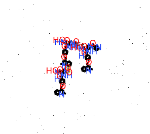 CCNC(=O)N1CCC(CC(=O)NO)(NC(=O)c2ccc(OCc3cc(C)nc4ccccc34)cc2)C1.Cc1cc(COc2ccc(C(=O)NC3(CC(=O)NO)CCN(C(=O)c4cccnc4)C3)cc2)c2ccccc2n1.Cc1cc(COc2ccc(C(=O)NC3(CC(=O)NO)CCN(S(C)(=O)=O)C3)cc2)c2ccccc2n1